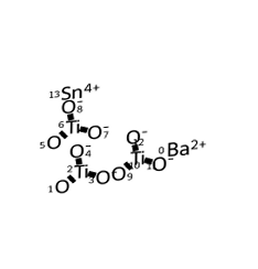 [Ba+2].[O]=[Ti]([O-])[O-].[O]=[Ti]([O-])[O-].[O]=[Ti]([O-])[O-].[Sn+4]